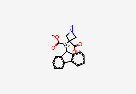 COC(=O)[As](C1c2ccccc2-c2ccccc21)C1(C(=O)O)CNC1